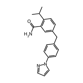 CC(C)c1ccc(Cc2ccc(-n3cccn3)cc2)cc1C(N)=O